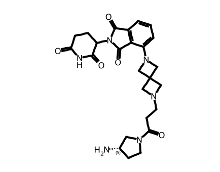 N[C@H]1CCN(C(=O)CCN2CC3(C2)CN(c2cccc4c2C(=O)N(C2CCC(=O)NC2=O)C4=O)C3)C1